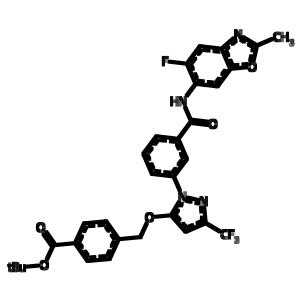 Cc1nc2cc(F)c(NC(=O)c3cccc(-n4nc(C(F)(F)F)cc4OCc4ccc(C(=O)OC(C)(C)C)cc4)c3)cc2o1